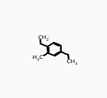 [CH2]Cc1ccc(CC)cc1C